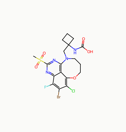 CS(=O)(=O)c1nc2c3c(c(Cl)c(Br)c(F)c3n1)OCCCN2CC1(NC(=O)O)CCC1